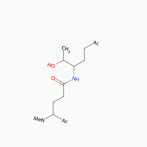 CNC(CCC(=O)NC(CCC(C)=O)C(C)O)C(C)=O